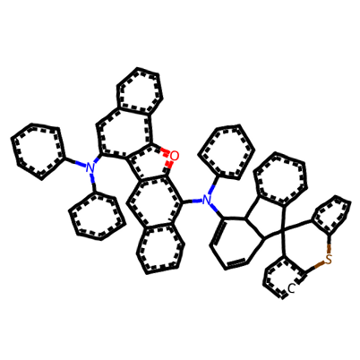 C1=CC2C(C(N(c3ccccc3)c3c4ccccc4cc4c3oc3c5ccccc5cc(N(c5ccccc5)c5ccccc5)c43)=C1)c1ccccc1C21c2ccccc2Sc2ccccc21